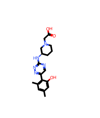 Cc1cc(C)c(-c2cnc(N[C@@H]3CCCN(CC(=O)O)C3)nn2)c(O)c1